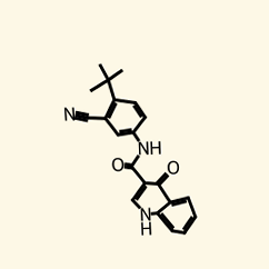 CC(C)(C)c1ccc(NC(=O)c2c[nH]c3ccccc3c2=O)cc1C#N